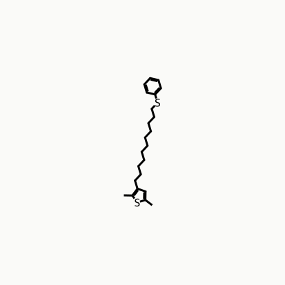 Cc1cc(CCCCCCCCCCCSc2ccccc2)c(C)s1